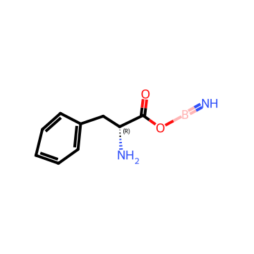 N=BOC(=O)[C@H](N)Cc1ccccc1